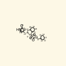 C[C@H]1C(S(=O)(=O)C(=O)OCc2ccccc2)c2ccccc2C[C@H]1Cc1n[nH]c(=O)o1